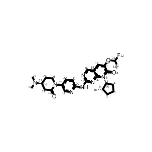 C[C@H]1CCC[C@H]1n1c(=O)c(OC(F)F)cc2cnc(Nc3ccc(N4CC[C@H](N(C)C)CC4=O)cn3)nc21